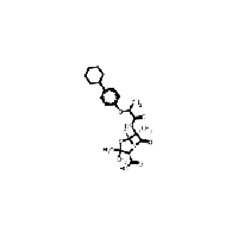 CC(Oc1ccc(C2CCCCC2)cc1)C(=O)N[C@@]1(C)C(=O)N2[C@@H](C(=O)O)C(C)(C)S[C@@H]21